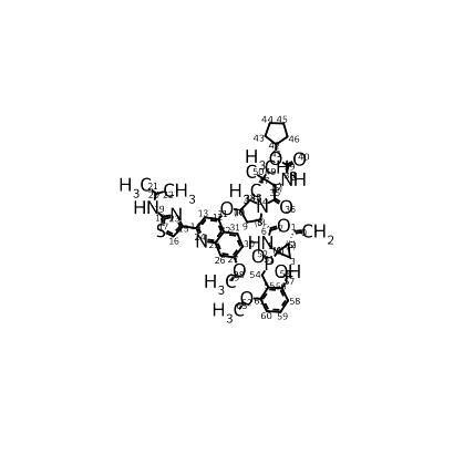 C=C[C@@H]1C[C@]1(NC(=O)[C@@H]1C[C@@H](Oc2cc(-c3csc(NC(C)C)n3)nc3cc(OC)ccc23)CN1C(=O)[C@@H](NC(=O)OC1CCCC1)C(C)(C)C)P(=O)(O)Cc1c(F)cccc1OC